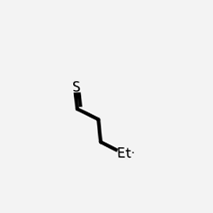 C[CH]CCC=S